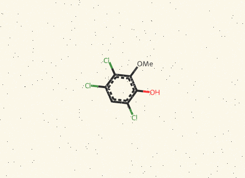 COc1c(O)c(Cl)cc(Cl)c1Cl